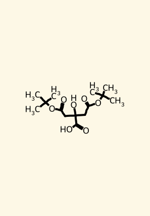 CC(C)(C)OC(=O)CC(O)(CC(=O)OC(C)(C)C)C(=O)O